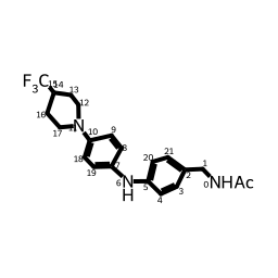 CC(=O)NCc1ccc(Nc2ccc(N3CCC(C(F)(F)F)CC3)cc2)cc1